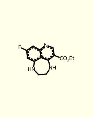 CCOC(=O)c1cnc2cc(F)cc3c2c1NCCN3